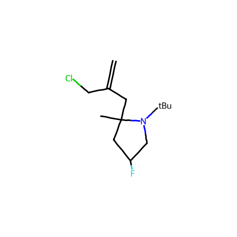 C=C(CCl)CC1(C)CC(F)CN1C(C)(C)C